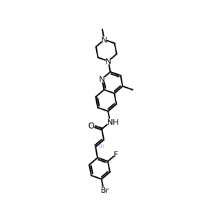 Cc1cc(N2CCN(C)CC2)nc2ccc(NC(=O)/C=C/c3ccc(Br)cc3F)cc12